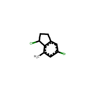 Cc1cc(Br)cc2c1C(Cl)CC2